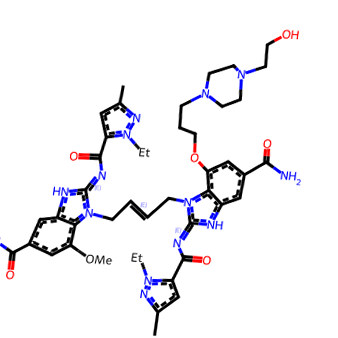 CCn1nc(C)cc1C(=O)/N=c1\[nH]c2cc(C(N)=O)cc(OC)c2n1C/C=C/Cn1/c(=N/C(=O)c2cc(C)nn2CC)[nH]c2cc(C(N)=O)cc(OCCCN3CCN(CCO)CC3)c21